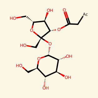 CC(=O)CC(=O)O[C@H]1[C@H](O)[C@@H](CO)O[C@@]1(CO)O[C@H]1O[C@H](CO)[C@@H](O)[C@H](O)[C@H]1O